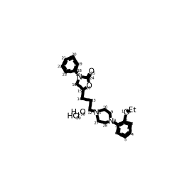 CCOc1ccccc1N1CCN(CCCC2CN(c3ccccc3)C(=O)O2)CC1.Cl.O